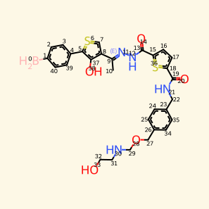 Bc1ccc(-c2scc(/C(C)=N/NC(=O)c3ccc(C(=O)NCc4ccc(COCNCCO)cc4)s3)c2O)cc1